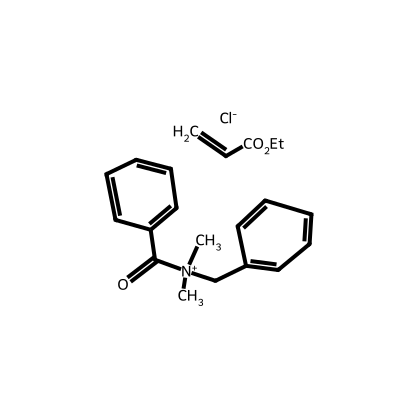 C=CC(=O)OCC.C[N+](C)(Cc1ccccc1)C(=O)c1ccccc1.[Cl-]